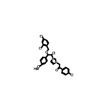 Br.O=C(CN1C=CN(C(Cl)C(OCc2ccc(Cl)cc2Cl)c2ccc(Cl)cc2)C1)c1ccc(Cl)cc1